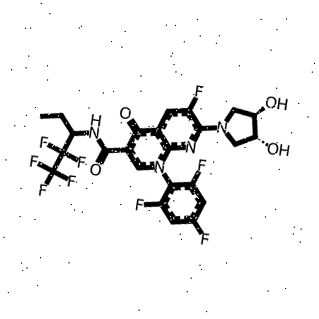 CCC(NC(=O)c1cn(-c2c(F)cc(F)cc2F)c2nc(N3C[C@@H](O)[C@H](O)C3)c(F)cc2c1=O)C(F)(F)C(F)(F)F